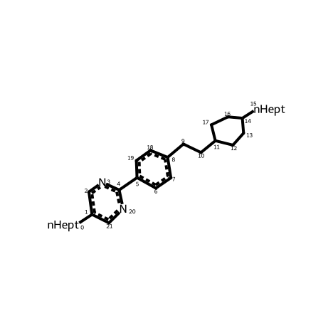 CCCCCCCc1cnc(-c2ccc(CCC3CCC(CCCCCCC)CC3)cc2)nc1